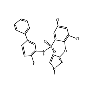 Cn1ccc(Oc2c(Cl)cc(Cl)cc2S(=O)(=O)Nc2cc(-c3ccccc3)ccc2F)n1